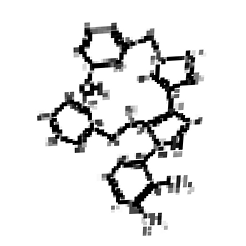 Cc1cccc(Cn2nnc(-c3cnn(-c4cccc(C)c4C)c3SCc3ccccc3)n2)c1